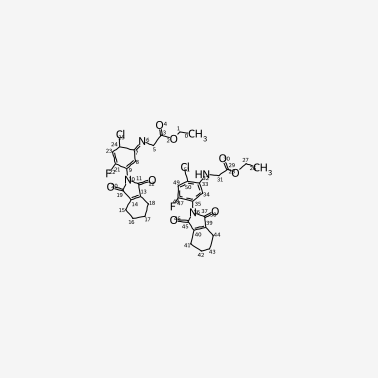 CCOC(=O)CN=C1C=C(N2C(=O)C3=C(CCCC3)C2=O)C(F)=CC1Cl.CCOC(=O)CNc1cc(N2C(=O)C3=C(CCCC3)C2=O)c(F)cc1Cl